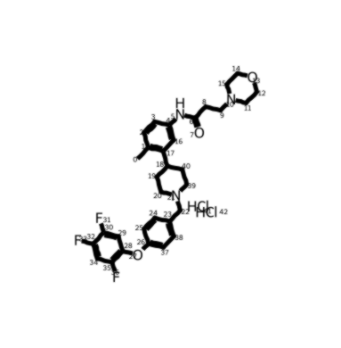 Cc1ccc(NC(=O)CCN2CCOCC2)cc1C1CCN(Cc2ccc(Oc3cc(F)c(F)cc3F)cc2)CC1.Cl.Cl